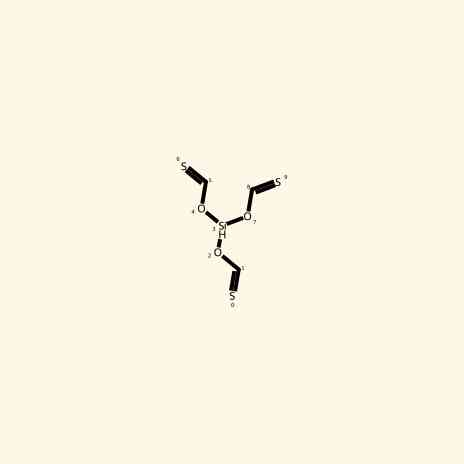 S=CO[SiH](OC=S)OC=S